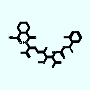 C=C(C)\C(=C/C=C(C)/C(OC)=C(\NC(=O)O[C@H](C)c1ccccc1C)C(=C)C)NC(=O)C1CCCCC1C(=O)O